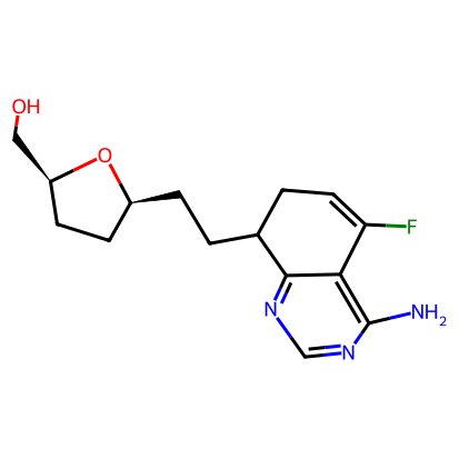 Nc1ncnc2c1C(F)=CCC2CC[C@H]1CC[C@@H](CO)O1